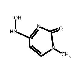 Cn1ccc(NO)nc1=O